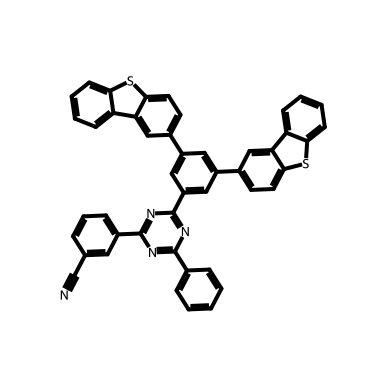 N#Cc1cccc(-c2nc(-c3ccccc3)nc(-c3cc(-c4ccc5sc6ccccc6c5c4)cc(-c4ccc5sc6ccccc6c5c4)c3)n2)c1